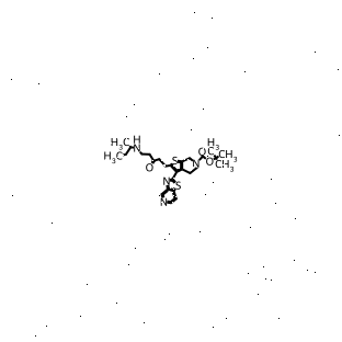 CCC(C)NCCC(=O)CCc1sc2c(c1-c1nc3cnccc3s1)CCN(C(=O)OC(C)(C)C)C2